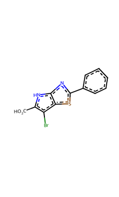 O=C(O)c1[nH]c2nc(-c3ccccc3)sc2c1Br